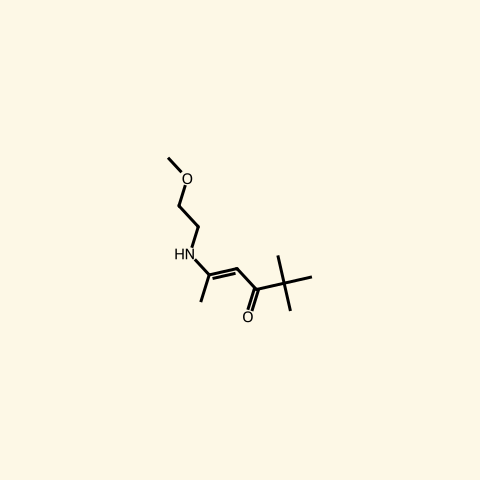 COCCNC(C)=CC(=O)C(C)(C)C